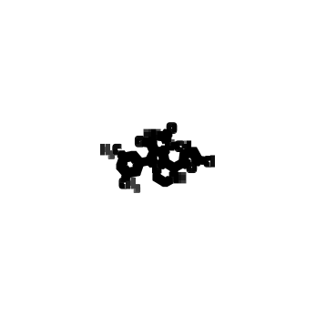 Cc1cc(C)cc(-c2c3c(=O)[nH]c(=O)n(C)c3c3n2CCNC3c2ccc(Cl)o2)c1